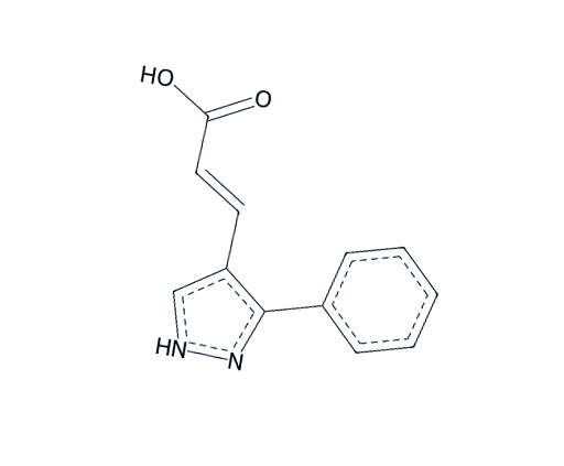 O=C(O)C=Cc1c[nH]nc1-c1ccccc1